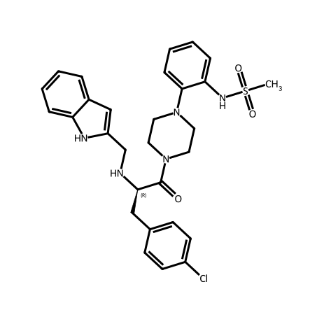 CS(=O)(=O)Nc1ccccc1N1CCN(C(=O)[C@@H](Cc2ccc(Cl)cc2)NCc2cc3ccccc3[nH]2)CC1